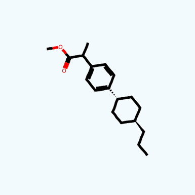 CCC[C@H]1CC[C@H](c2ccc(C(C)C(=O)OC)cc2)CC1